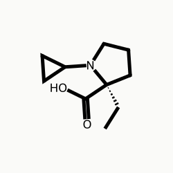 CC[C@@]1(C(=O)O)CCCN1C1CC1